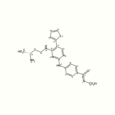 CCOC(=O)N=[SH](=O)c1ccc(Nc2ncc(-c3cccs3)c(NCC[C@H](N)C(=O)O)n2)cc1